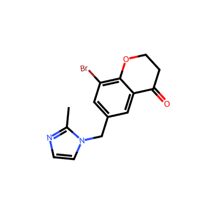 Cc1nccn1Cc1cc(Br)c2c(c1)C(=O)CCO2